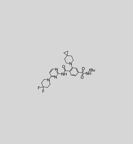 CC(C)(C)NS(=O)(=O)c1ccc(C(=O)Nc2nccc(N3CCC(F)(F)CC3)n2)c(N2CCC3(CC2)CC3)c1